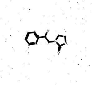 O=C1OCCN1CC(Br)c1ccccc1